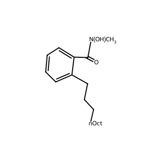 CCCCCCCCCCCc1ccccc1C(=O)N(C)O